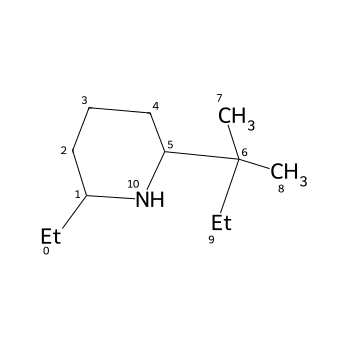 CCC1CCCC(C(C)(C)CC)N1